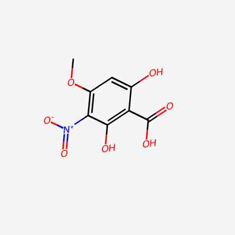 COc1cc(O)c(C(=O)O)c(O)c1[N+](=O)[O-]